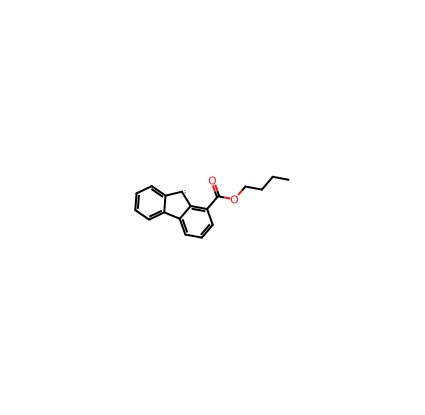 CCCCOC(=O)c1cccc2c1[C]c1ccccc1-2